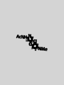 CNc1ccc(Oc2ccnc(NC(C)=O)c2)c(Cl)c1